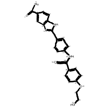 CC(C)(C)C(=O)c1ccc2[nH]c(-c3ccc(NC(=O)c4ccc(OCCO)cc4)cc3)nc2c1